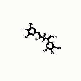 CC(C)(C)c1cc(/C=C(\C#N)S(=O)(=O)C(=CC#N)c2cc(C(C)(C)C)c(O)c(C(C)(C)C)c2)cc(C(C)(C)C)c1O